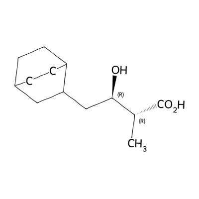 C[C@@H](C(=O)O)[C@H](O)CC1CC2CCC1CC2